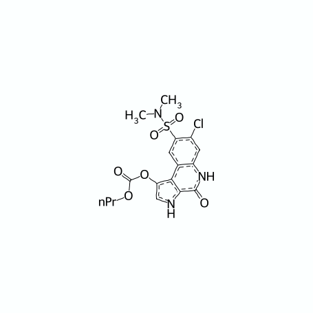 CCCOC(=O)Oc1c[nH]c2c(=O)[nH]c3cc(Cl)c(S(=O)(=O)N(C)C)cc3c12